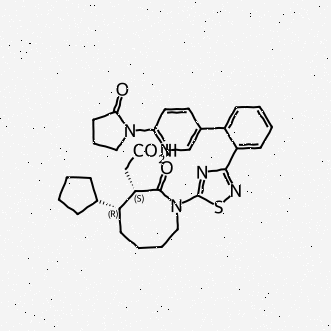 O=C(O)C[C@@H]1C(=O)N(c2nc(-c3ccccc3-c3ccc(N4CCCC4=O)nc3)ns2)CCCC[C@@H]1C1CCCC1